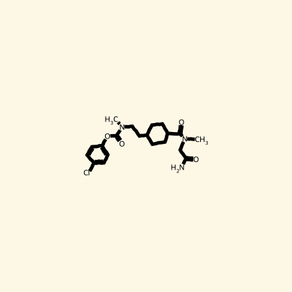 CN(CCC1CCC(C(=O)N(C)CC(N)=O)CC1)C(=O)Oc1ccc(Cl)cc1